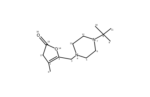 CC1=C(CN2CCN(C(C)(C)C)CC2)OC(=O)C1